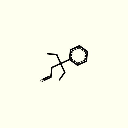 [CH2]CC(CC)(CC=O)c1ccccc1